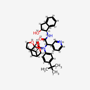 CC(C)(C)c1ccc(N(C(=O)[C@H]2C3CO[C@H]4OCC2C4C3)C(C(=O)N[C@@H]2c3ccccc3C[C@@H]2O)c2cccnc2)cc1